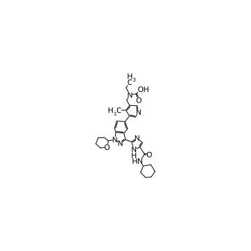 CCN(Cc1cncc(-c2ccc3c(c2)c(-c2ncc(C(=O)NC4CCCCC4)[nH]2)nn3C2CCCCO2)c1C)C(=O)O